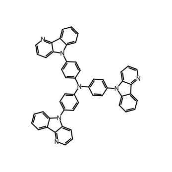 c1ccc2c(c1)c1ncccc1n2-c1ccc(N(c2ccc(-n3c4ccccc4c4ncccc43)cc2)c2ccc(-n3c4ccccc4c4ncccc43)cc2)cc1